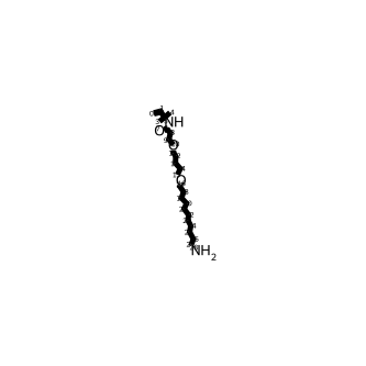 C=CC(C)(C)NC(=O)CCOCCCCCOCCCCCCCCCCCN